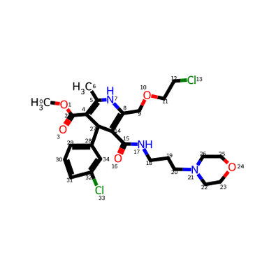 COC(=O)C1=C(C)NC(COCCCl)=C(C(=O)NCCCN2CCOCC2)C1c1cccc(Cl)c1